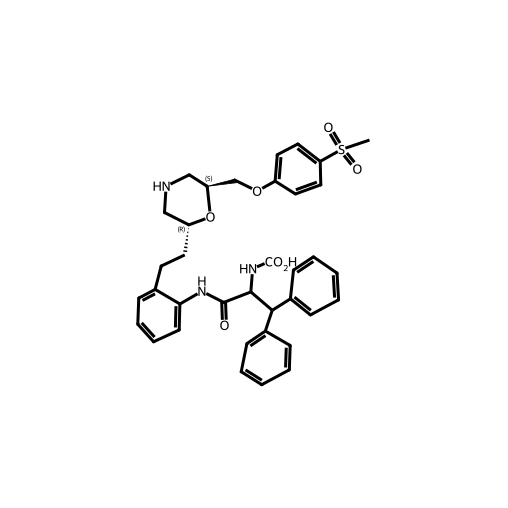 CS(=O)(=O)c1ccc(OC[C@@H]2CNC[C@@H](CCc3ccccc3NC(=O)C(NC(=O)O)C(c3ccccc3)c3ccccc3)O2)cc1